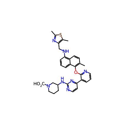 Cc1nc(CNc2cccc3c(Oc4ncccc4-c4ccnc(NC5CCCN(C(=O)O)C5)n4)c(C)ccc23)c(C)s1